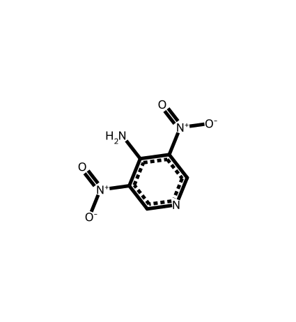 Nc1c([N+](=O)[O-])cncc1[N+](=O)[O-]